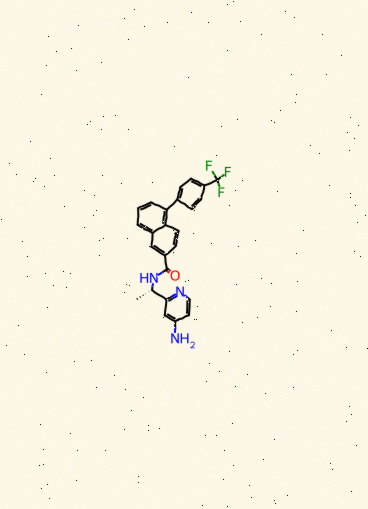 C[C@H](NC(=O)c1ccc2c(-c3ccc(C(F)(F)F)cc3)cccc2c1)c1cc(N)ccn1